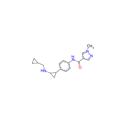 Cn1cc(C(=O)Nc2ccc(C3CC3NCC3CC3)cc2)cn1